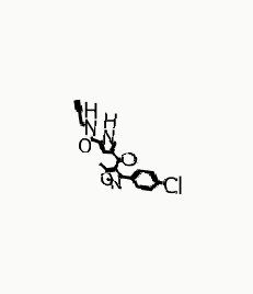 C#CCNC(=O)c1cc(C(=O)c2c(-c3ccc(Cl)cc3)noc2C)c[nH]1